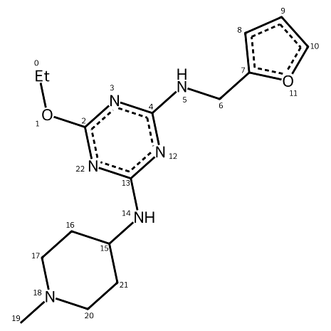 CCOc1nc(NCc2ccco2)nc(NC2CCN(C)CC2)n1